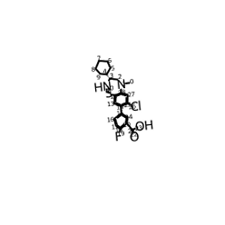 CN1C[C@@H](C2CCCCC2)NSc2cc(-c3ccc(F)c(C(=O)O)c3)c(Cl)cc21